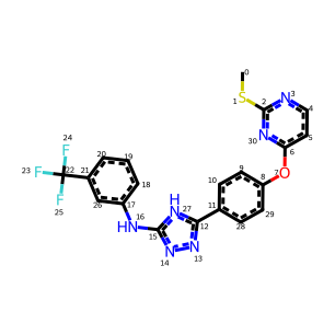 CSc1nccc(Oc2ccc(-c3nnc(Nc4cccc(C(F)(F)F)c4)[nH]3)cc2)n1